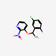 CC(Oc1cccnc1[N+](=O)[O-])c1cc(F)ccc1I